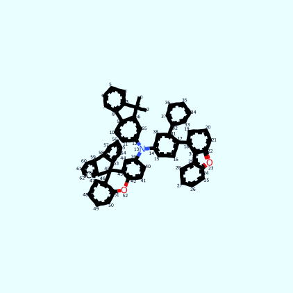 CC1(C)c2ccccc2-c2ccc(N(c3ccc(-c4cccc5oc6ccccc6c45)c(-c4ccccc4)c3)c3ccc4c(c3)C3(c5ccccc5O4)c4ccccc4-c4ccccc43)cc21